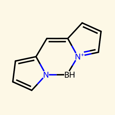 B1n2cccc2C=C2C=CC=[N+]12